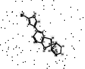 Brc1cc(-c2cnc3c(c2)C[C@@]2(CN4CCC2CC4)O3)co1